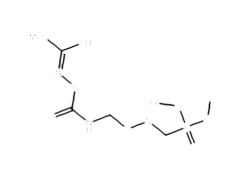 CCOP(=S)(CNSCNC(=O)ON=C(C)SC)OCC